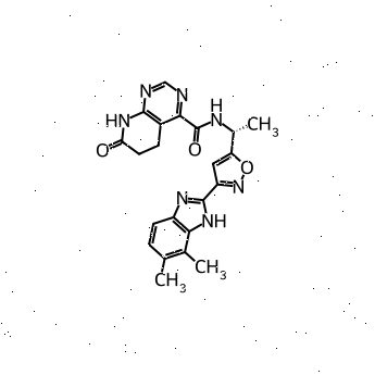 Cc1ccc2nc(-c3cc([C@@H](C)NC(=O)c4ncnc5c4CCC(=O)N5)on3)[nH]c2c1C